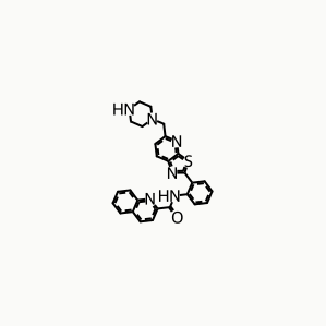 O=C(Nc1ccccc1-c1nc2ccc(CN3CCNCC3)nc2s1)c1ccc2ccccc2n1